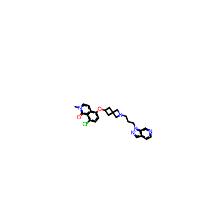 Cn1ccc2c(OC3CC4(C3)CN(CCCn3ncc5ccncc53)C4)ccc(Cl)c2c1=O